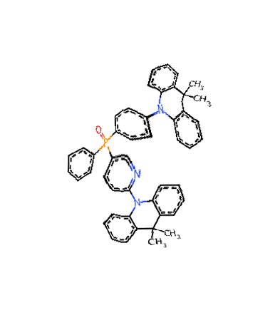 CC1(C)c2ccccc2N(c2ccc(P(=O)(c3ccccc3)c3ccc(N4c5ccccc5C(C)(C)c5ccccc54)nc3)cc2)c2ccccc21